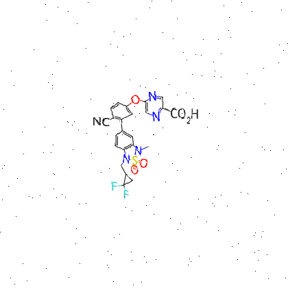 CN1c2cc(-c3cc(Oc4cnc(C(=O)O)cn4)ccc3C#N)ccc2N(CC2CC2(F)F)S1(=O)=O